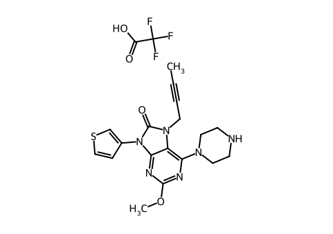 CC#CCn1c(=O)n(-c2ccsc2)c2nc(OC)nc(N3CCNCC3)c21.O=C(O)C(F)(F)F